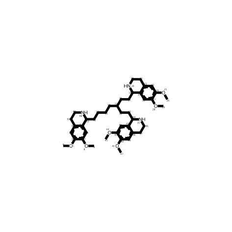 COc1cc2c(cc1OC)C(CCCCC(CCC1NCCc3cc(OC)c(OC)cc31)CCC1NCCc3cc(OC)c(OC)cc31)NCC2